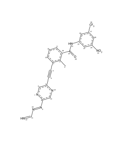 Cc1c(C#Cc2cnc(N=NC=N)cn2)cccc1C(=O)Nc1cc([N+](=O)[O-])cc(C(F)(F)F)c1